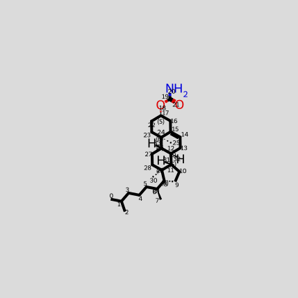 CC(C)CCC[C@H](C)[C@H]1CC[C@H]2[C@@H]3CC=C4C[C@@H](OC(N)=O)CC[C@]4(C)[C@H]3CC[C@]12C